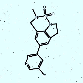 CN1Cc2cc(-c3cncc(F)c3)cc3c2N(CC3)S1(=O)=O